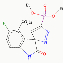 CCOC(=O)c1c(F)ccc2c1C1(C=C(P(=O)(OCC)OCC)N=N1)C(=O)N2